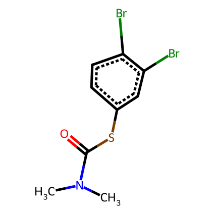 CN(C)C(=O)Sc1ccc(Br)c(Br)c1